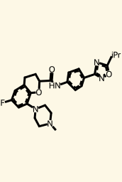 CC(C)c1nc(-c2ccc(NC(=O)C3CCc4cc(F)cc(N5CCN(C)CC5)c4O3)cc2)no1